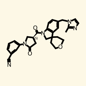 Cc1nccn1Cc1ccc2c(c1)C1(CCOCC1)CN2C(=O)[C@H]1CC(=O)N(c2cccc(C#N)c2)C1